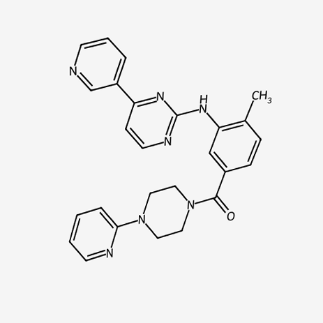 Cc1ccc(C(=O)N2CCN(c3ccccn3)CC2)cc1Nc1nccc(-c2cccnc2)n1